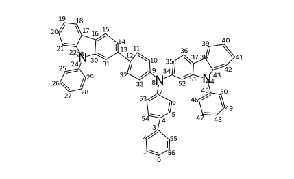 c1ccc(-c2ccc(N(c3ccc(-c4ccc5c6ccccc6n(-c6ccccc6)c5c4)cc3)c3ccc4c5ccccc5n(-c5ccccc5)c4c3)cc2)cc1